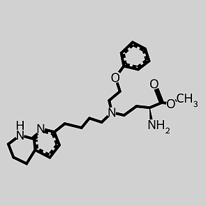 COC(=O)[C@@H](N)CCN(CCCCc1ccc2c(n1)NCCC2)CCOc1ccccc1